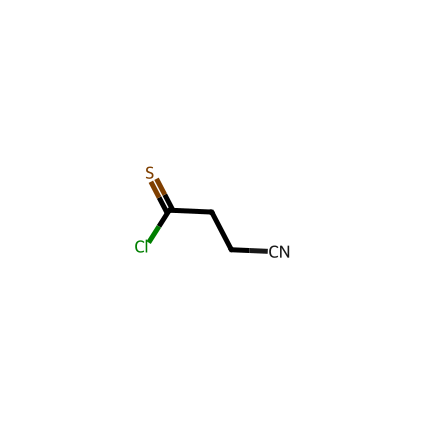 N#CCCC(=S)Cl